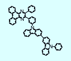 c1ccc(-c2nc3c4ccccc4c4ccccc4c3nc2-c2cccc(-n3c4ccccc4c4cc(-c5ccc6c(c5)c5ccccc5n6-c5ccccc5)ccc43)c2)cc1